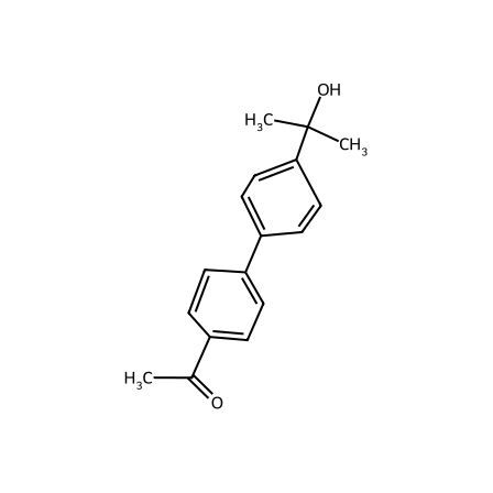 CC(=O)c1ccc(-c2ccc(C(C)(C)O)cc2)cc1